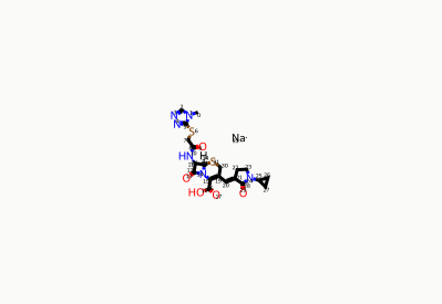 Cn1cnnc1SCC(=O)N[C@@H]1C(=O)N2C(C(=O)O)=C(C=C3CCN(C4CC4)C3=O)CS[C@H]12.[Na]